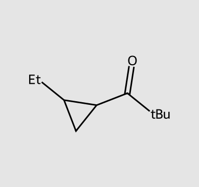 CCC1CC1C(=O)C(C)(C)C